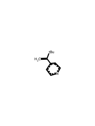 C=C(c1ccncc1)C(C)(C)C